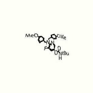 COc1ccc(CN(Cc2ccc(OC)cc2)c2ncc(OC(=O)NC(C)(C)C)cc2F)cc1